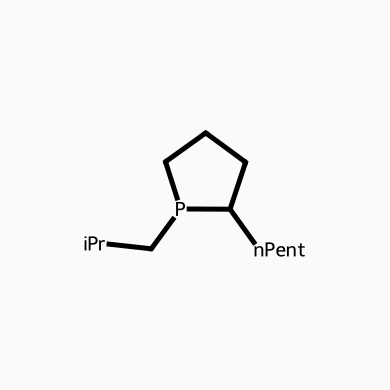 CCCCCC1CCCP1CC(C)C